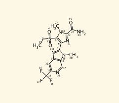 CCS(=O)(=O)c1c(-c2nc3cc(C(F)(F)F)ncc3n2C)nc(C(N)=O)n1C